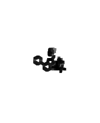 CC1=Cc2c(-c3ccccc3)cccc2[CH]1[Ti+2]([NH]C(C)(C)C)=[Si](C)C.[Cl-].[Cl-]